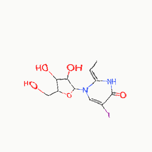 CC=C1NC(=O)C(I)=CN1C1OC(CO)C(O)C1O